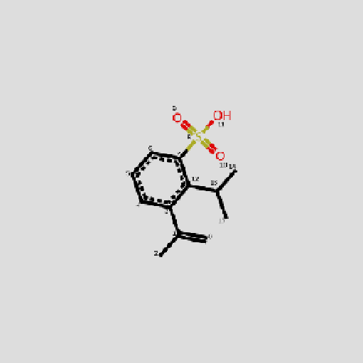 C=C(C)c1cccc(S(=O)(=O)O)c1C(C)C